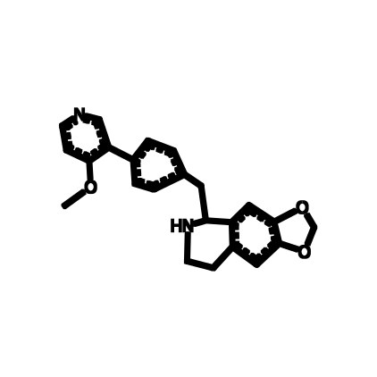 COc1ccncc1-c1ccc(CC2NCCc3cc4c(cc32)OCO4)cc1